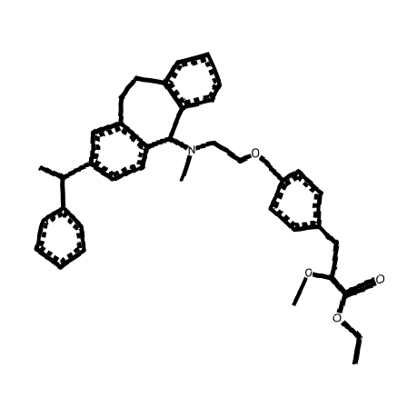 CCOC(=O)C(Cc1ccc(OCCN(C)C2c3ccccc3CCc3cc(C(C)c4ccccc4)ccc32)cc1)OC